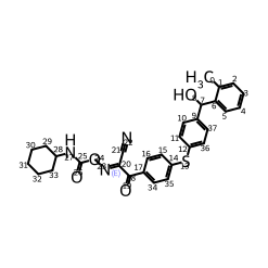 Cc1ccccc1C(O)c1ccc(Sc2ccc(C(=O)/C(C#N)=N/OC(=O)NC3CCCCC3)cc2)cc1